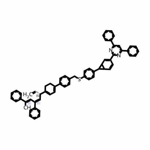 C=C[C@@H](/C=C(\C=C(/C)c1ccccc1)c1ccccc1)C1=CC=C(c2ccc(CSc3ccc(C4C5C=CC(c6nc(-c7ccccc7)cc(-c7ccccc7)n6)=CC54)cc3)cc2)CC1